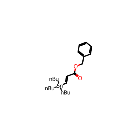 CCC[CH2][Sn](/[CH]=C/C(=O)OCc1ccccc1)([CH2]CCC)[CH2]CCC